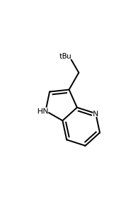 CC(C)(C)Cc1c[nH]c2cccnc12